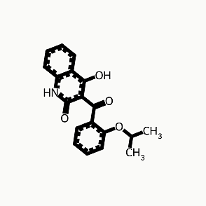 CC(C)Oc1ccccc1C(=O)c1c(O)c2ccccc2[nH]c1=O